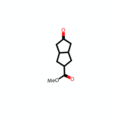 COC(=O)C1CC2CC(=O)CC2C1